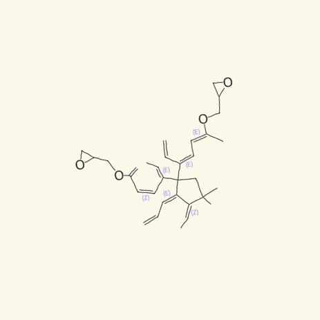 C=C/C=C1\C(=C/C)C(C)(C)CC1(/C(C=C)=C/C=C(\C)OCC1CO1)C(/C=C\C(=C)OCC1CO1)=C/C